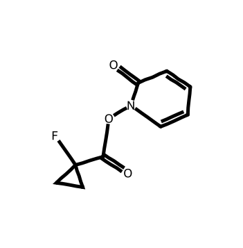 O=C(On1ccccc1=O)C1(F)CC1